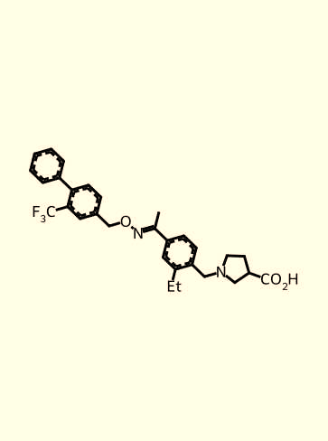 CCc1cc(C(C)=NOCc2ccc(-c3ccccc3)c(C(F)(F)F)c2)ccc1CN1CCC(C(=O)O)C1